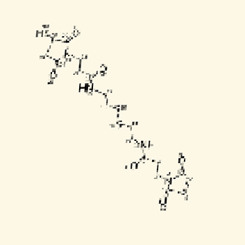 O=C(CCN1C(=O)C=CC1=O)NCCSSCCNC(=O)CCN1C(=O)CC(S)C1=O